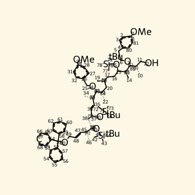 COc1ccc(CCO[C@@H]([C@@H](C)CO)[C@@H](C)C(CC[C@H](C)C[C@H](C)[C@@H](OCc2ccc(OC)cc2)[C@@H](C)C=C[C@H](C[C@H](O[Si](C)(C)C(C)(C)C)[C@H](C)C=CCOC(c2ccccc2)(c2ccccc2)c2ccccc2)O[Si](C)(C)C(C)(C)C)O[Si](C)(C)C(C)(C)C)cc1